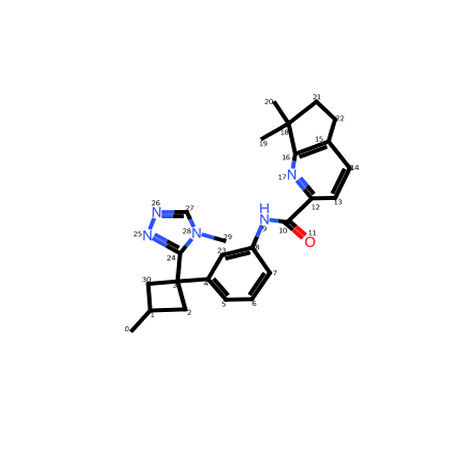 CC1CC(c2cccc(NC(=O)c3ccc4c(n3)C(C)(C)CC4)c2)(c2nncn2C)C1